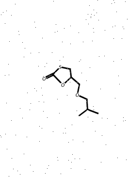 CC(C)COCC1CSC(=O)O1